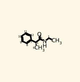 CCNC(=O)[C@@H](C)c1ccccc1